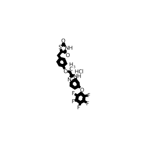 CC(Oc1ccc(CC2SC(=O)NC2=O)cc1)c1nc2ccc(Oc3c(F)c(F)c(F)c(F)c3F)cc2[nH]1.Cl